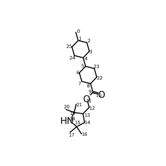 CC1CCC(C2CCC(C(=O)OCC3CC(C)(C)NC3(C)C)CC2)CC1